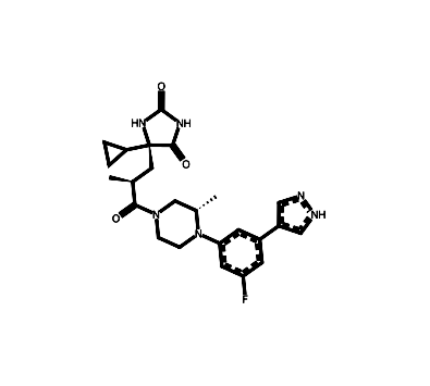 C[C@@H](C[C@@]1(C2CC2)NC(=O)NC1=O)C(=O)N1CCN(c2cc(F)cc(-c3cn[nH]c3)c2)[C@@H](C)C1